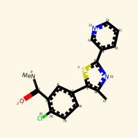 CNC(=O)c1cc(-c2sc(-c3cccnc3)nc2C)ccc1Cl